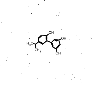 CC(C)c1ccc(O)c(-c2cc(O)cc(O)c2)c1